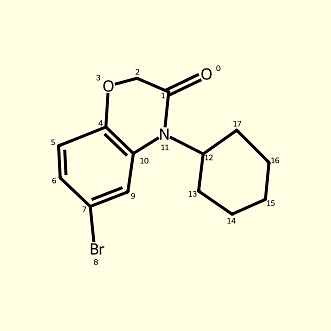 O=C1COc2ccc(Br)cc2N1C1CCCCC1